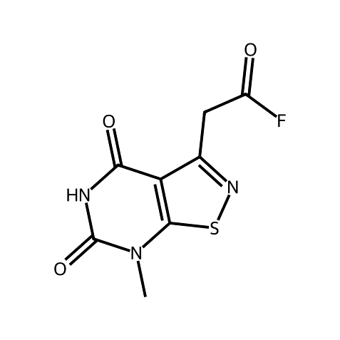 Cn1c(=O)[nH]c(=O)c2c(CC(=O)F)nsc21